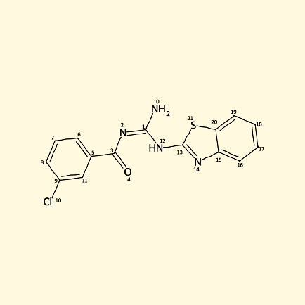 N/C(=N/C(=O)c1cccc(Cl)c1)Nc1nc2ccccc2s1